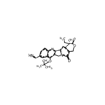 CC[C@@]1(O)C(=O)OCc2c1cc1n(c2=O)Cc2c-1nc1ccc(C=N)cc1c2OC(C)(C)C